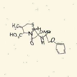 C=C1CS[C@H]2N(C(=O)C2(NC(=O)COc2ccccc2)OC)C1C(=O)O